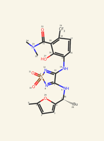 Cc1ccc([C@H](NC2=NS(=O)(=O)N=C2Nc2ccc(C(F)(F)F)c(C(=O)N(C)C)c2O)C(C)(C)C)o1